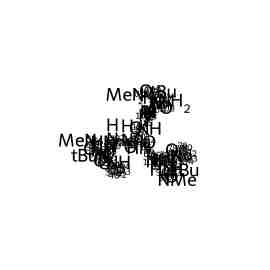 CN[C@@H](C)C(=O)N[C@H](C(=O)N1C[C@@H](n2cc(CCNC(=O)c3cc(C(=O)NCCC4=CN([C@H]5C[C@@H](C(=O)N[C@@H]6CCCc7ccccc76)N(C(=O)[C@@H](NC(=O)[C@H](C)NC)C(C)(C)C)C5)NN4)cc(C(=O)NCCc4cn([C@H]5C[C@@H](C(=O)N[C@@H]6CCCc7ccccc76)N(C(=O)[C@@H](NC(=O)[C@H](C)NC)C(C)(C)C)C5)nn4)c3)nn2)C[C@H]1C(N)=O)C(C)(C)C